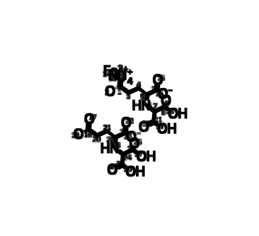 O=C([O-])CC[C@H](NC(C(=O)O)C(=O)O)C(=O)[O-].O=C([O-])CC[C@H](NC(C(=O)O)C(=O)O)C(=O)[O-].[Fe+3].[NH4+]